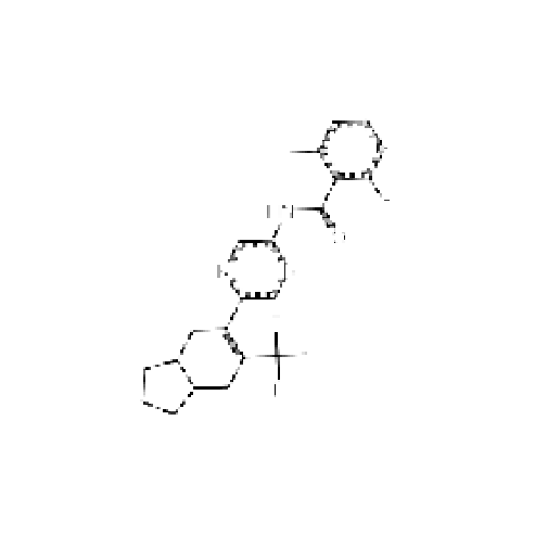 O=C(Nc1cnc(C2=C(C(F)(F)F)CC3CCCC3C2)cn1)c1c(F)cccc1F